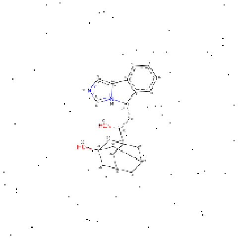 O[C@H](C[C@H]1c2ccccc2-c2cncn21)C12CC3CC(CC(O)(C3)C1)C2